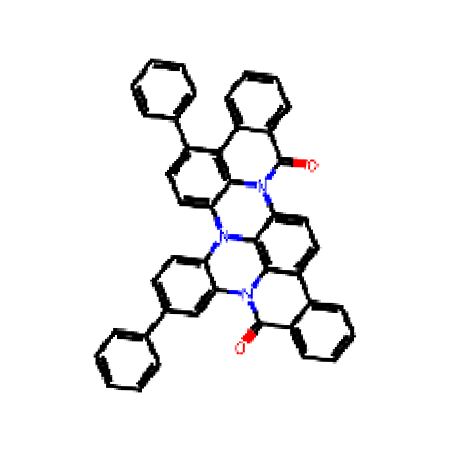 O=c1c2ccccc2c2ccc3c4c2n1c1cc(-c2ccccc2)ccc1n-4c1ccc(-c2ccccc2)c2c4ccccc4c(=O)n3c21